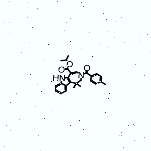 Cc1ccc(C(=O)N2C=C(C(=O)OC(C)C)c3[nH]c4ccccc4c3C(C)(C)C2)cc1